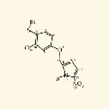 CCSc1ccc(OCc2ncc([N+](=O)[O-])n2C)cc1Cl